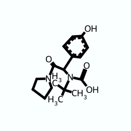 CC(C)(C)N(C(=O)O)C(C(=O)N1CCCC1)c1ccc(O)cc1